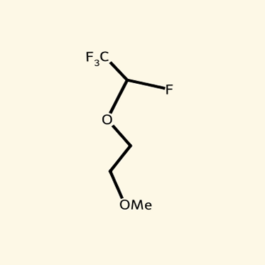 COCCOC(F)C(F)(F)F